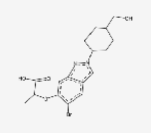 CC(Oc1cc2nn(C3CCC(CO)CC3)cc2cc1Br)C(=O)O